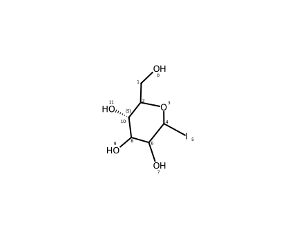 OCC1OC(I)C(O)C(O)[C@@H]1O